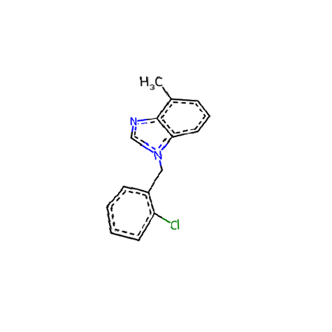 Cc1cccc2c1ncn2Cc1ccccc1Cl